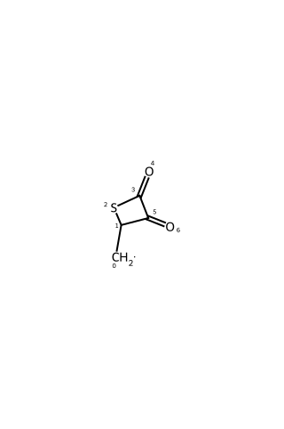 [CH2]C1SC(=O)C1=O